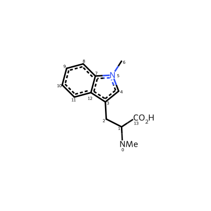 CNC(Cc1cn(C)c2ccccc12)C(=O)O